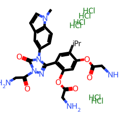 CC(C)c1cc(-c2nn(C(=O)CN)c(=O)n2-c2ccc3c(ccn3C)c2)c(OC(=O)CN)cc1OC(=O)CN.Cl.Cl.Cl.Cl.Cl.Cl